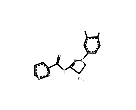 C[C@H]1CN(c2ccc(Cl)c(Cl)c2)N=C1NC(=O)c1cccnn1